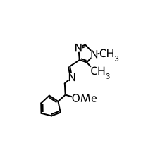 COC(CN=Cc1ncn(C)c1C)c1ccccc1